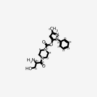 Cc1cc(OC(=O)N2CCN(C(=O)C(N)CO)CC2)n(-c2ccccc2)n1